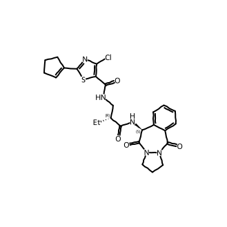 CC[C@H](CNC(=O)c1sc(C2=CCCC2)nc1Cl)C(=O)N[C@@H]1C(=O)N2CCCN2C(=O)c2ccccc21